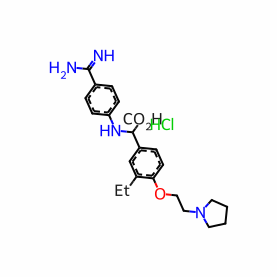 CCc1cc(C(Nc2ccc(C(=N)N)cc2)C(=O)O)ccc1OCCN1CCCC1.Cl